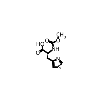 COC(=O)N[C@@H](Cc1cscn1)C(=O)O